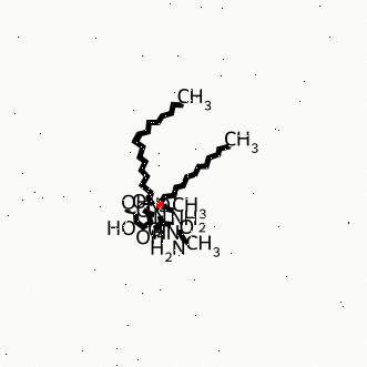 CCCCCCCC/C=C\CCCCCCCC(=O)N(CCCCCCCCCCCCCC)[C@@]1(N(C(=O)CNC(=O)[C@H](C)N)C(=O)[C@H](C)N)C[C@@H](O)[C@H](O)[C@@H](CO)O1